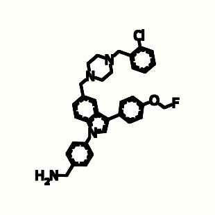 NCc1ccc(-n2cc(-c3ccc(OCF)cc3)c3cc(CN4CCN(Cc5ccccc5Cl)CC4)ccc32)cc1